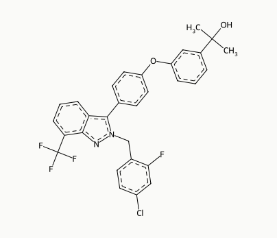 CC(C)(O)c1cccc(Oc2ccc(-c3c4cccc(C(F)(F)F)c4nn3Cc3ccc(Cl)cc3F)cc2)c1